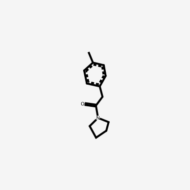 Cc1ccc(CC(=O)N2CCCC2)cc1